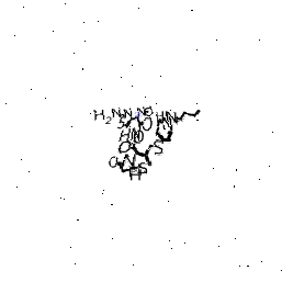 CCCCN[n+]1ccc(SCC2=C(C(=O)ONC(=O)/C(=N\OC)c3csc(N)n3)N3C(=O)C[C@@H]3SC2)cc1